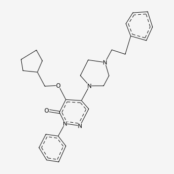 O=c1c(OCC2CCCC2)c(N2CCN(CCc3ccccc3)CC2)cnn1-c1ccccc1